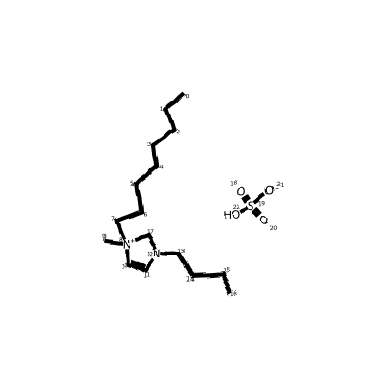 CCCCCCCC[N+]1(C)C=CN(CCCC)C1.O=S(=O)([O-])O